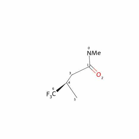 [CH2]NC(=O)C[C@@H](C)C(F)(F)F